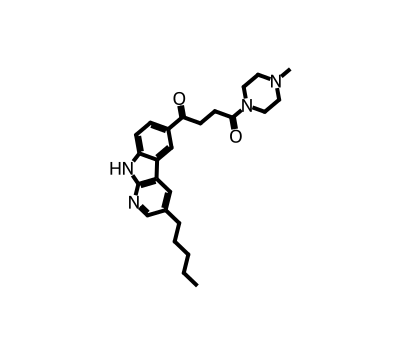 CCCCCc1cnc2[nH]c3ccc(C(=O)CCC(=O)N4CCN(C)CC4)cc3c2c1